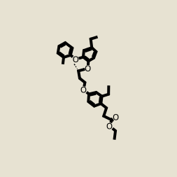 CCOC(=O)CCc1ccc(OCC[C@H](C)Oc2ccc(CC)cc2Oc2ccccc2C)cc1CC